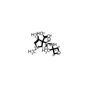 CC1=CN(C)CC1(C(=O)O)S(=O)(=O)NC1(C)COC1